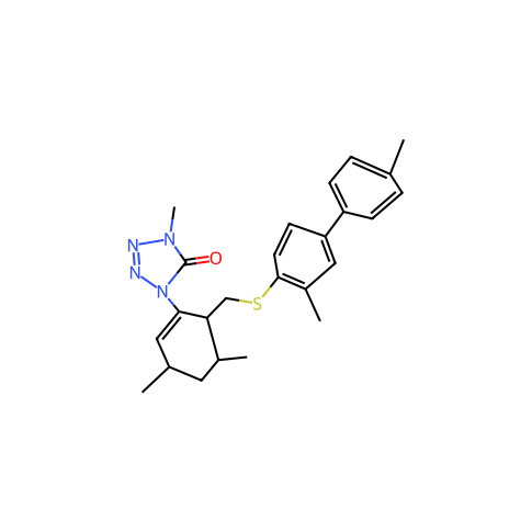 Cc1ccc(-c2ccc(SCC3C(n4nnn(C)c4=O)=CC(C)CC3C)c(C)c2)cc1